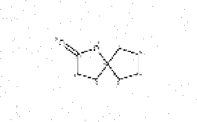 O=C1CCC2(CCCC2)O1